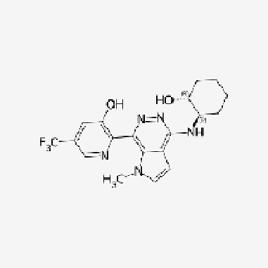 Cn1ccc2c(N[C@@H]3CCCC[C@H]3O)nnc(-c3ncc(C(F)(F)F)cc3O)c21